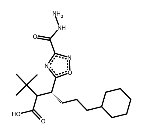 CC(C)(C)C(C(=O)O)[C@@H](CCCC1CCCCC1)c1nc(C(=O)NN)no1